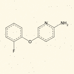 Nc1ccc(Oc2ccccc2F)cn1